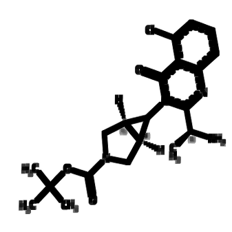 C[C@H](N)c1nc2cccc(Cl)c2c(=O)n1C1[C@H]2CN(C(=O)OC(C)(C)C)C[C@@H]12